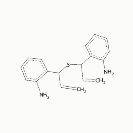 C=CC(SC(C=C)c1ccccc1N)c1ccccc1N